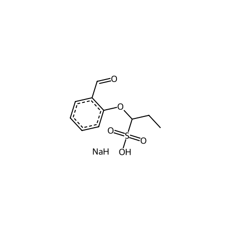 CCC(Oc1ccccc1C=O)S(=O)(=O)O.[NaH]